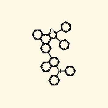 c1ccc(-c2oc3c4ccccc4c4ccc(-c5ccc(N(c6ccccc6)c6ccccc6)c6ccccc56)cc4c3c2-c2ccccc2)cc1